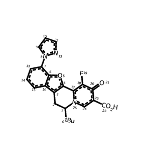 CC(C)(C)C1Cc2c(oc3c(-n4cccn4)cccc23)-c2c(F)c(=O)c(C(=O)O)cn21